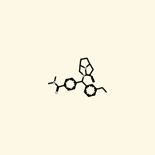 C=CCN1C2CCC1CN(C(c1ccc(C(=O)N(C)C)cc1)c1cccc(CC)c1)CC2